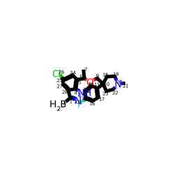 Bc1n[nH]c2c(C(C)OCC3(c4ccc(F)cc4)CCN(C)CC3)cc(Cl)cc12